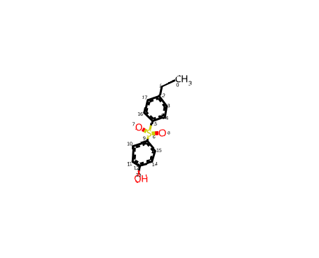 CCc1ccc(S(=O)(=O)c2ccc(O)cc2)cc1